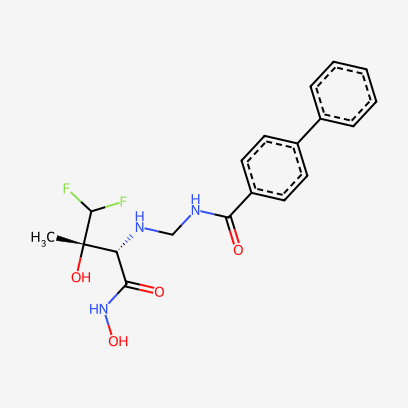 C[C@@](O)(C(F)F)[C@H](NCNC(=O)c1ccc(-c2ccccc2)cc1)C(=O)NO